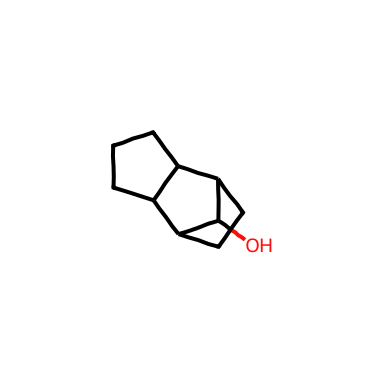 OC1C2CCC1C1CCCC21